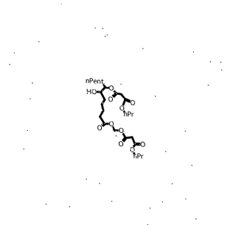 CCCCCC(OC(=O)CC(=O)OCCC)C(O)CCCCC(=O)OCOC(=O)CC(=O)OCCC